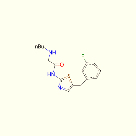 CCCCNCC(=O)Nc1ncc(Cc2cccc(F)c2)s1